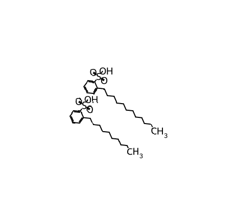 CCCCCCCCCCCCc1ccccc1S(=O)(=O)O.CCCCCCCCCCc1ccccc1S(=O)(=O)O